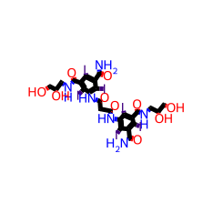 NC(=O)c1c(I)c(NC(=O)CC(=O)Nc2c(I)c(C(N)=O)c(I)c(C(=O)NCC(O)CO)c2I)c(I)c(C(=O)NCC(O)CO)c1I